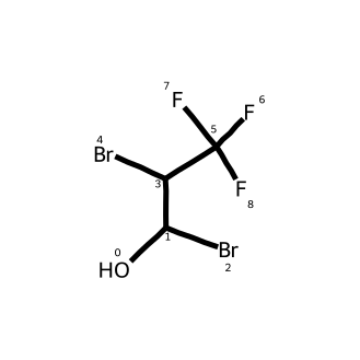 OC(Br)C(Br)C(F)(F)F